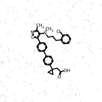 Cc1noc(-c2ccc(-c3ccc(C4(CC(=O)O)CC4)cc3)cc2)c1N(C)CCCc1ccccc1Cl